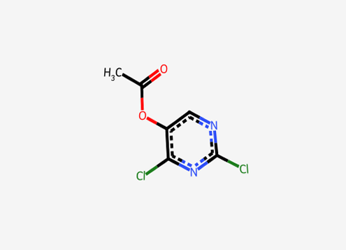 CC(=O)Oc1cnc(Cl)nc1Cl